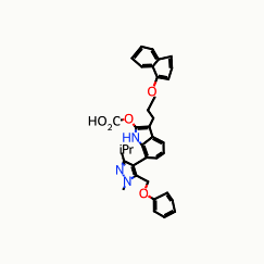 CC(C)c1nn(C)c(COc2ccccc2)c1-c1cccc2c(CCCOc3cccc4ccccc34)c(OC(=O)O)[nH]c12